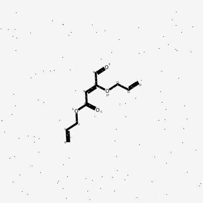 C=CCOC(=O)C=C(C=O)OCC=C